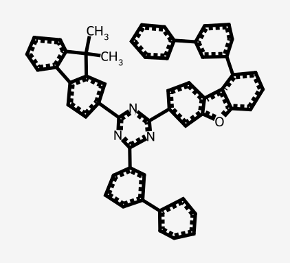 CC1(C)c2ccccc2-c2ccc(-c3nc(-c4cccc(-c5ccccc5)c4)nc(-c4ccc5c(c4)oc4cccc(-c6cccc(-c7ccccc7)c6)c45)n3)cc21